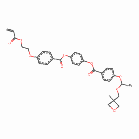 C=CC(=O)OCCOc1ccc(C(=O)Oc2ccc(OC(=O)c3ccc(OC(CCC)OCC4(C)COC4)cc3)cc2)cc1